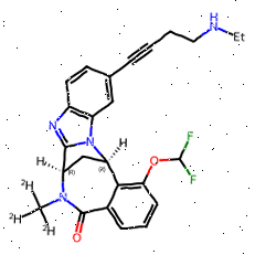 [2H]C([2H])([2H])N1C(=O)c2cccc(OC(F)F)c2[C@H]2C[C@@H]1c1nc3ccc(C#CCCNCC)cc3n12